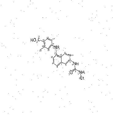 CCNC(=O)Nc1cc2cccc(Nc3ccc(C(=O)O)c(C)c3)c2cn1